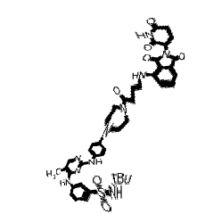 Cc1cnc(Nc2ccc(N3CCN(C(=O)CCCNc4cccc5c4C(=O)N(C4CCC(=O)NC4=O)C5=O)CC3)cc2)nc1Nc1cccc(S(=O)(=O)NC(C)(C)C)c1